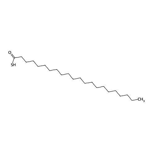 CCCCCCCCCCCCCCCCCCCCCC(=O)S